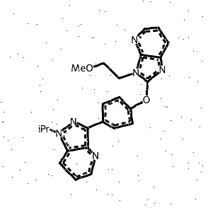 COCCn1c(Oc2ccc(-c3nn(C(C)C)c4cccnc34)cc2)nc2cccnc21